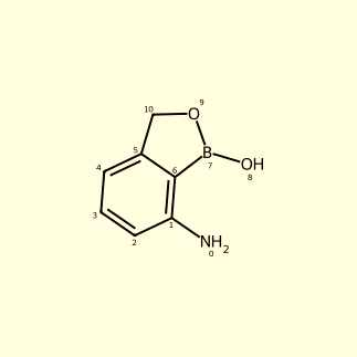 Nc1cccc2c1B(O)OC2